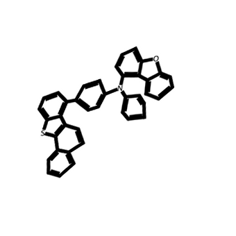 c1ccc(N(c2ccc(-c3cccc4sc5c6ccccc6ccc5c34)cc2)c2cccc3oc4ccccc4c23)cc1